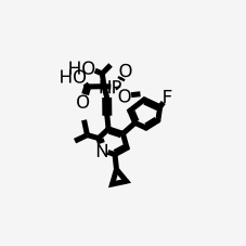 CO[PH](=O)C(C#Cc1c(-c2ccc(F)cc2)cc(C2CC2)nc1C(C)C)(C(=O)O)C(C)O